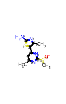 Cc1cc(-c2sc(N)nc2C)nc([S+](C)[O-])n1